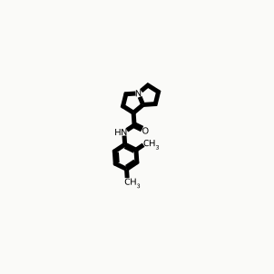 Cc1ccc(NC(=O)C2CCN3CCCC23)c(C)c1